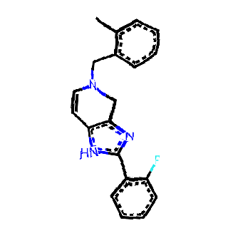 Cc1ccccc1CN1C=Cc2[nH]c(-c3ccccc3F)nc2C1